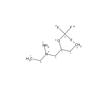 CCC(CN(N)CC)OC(F)(F)F